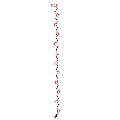 C#COCCOCCOCCOCCOCCOCCOCCOCCOCCOCCOCCO